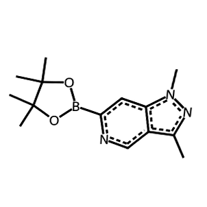 Cc1nn(C)c2cc(B3OC(C)(C)C(C)(C)O3)ncc12